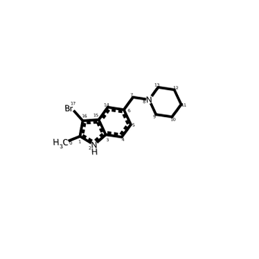 Cc1[nH]c2ccc(CN3CCCCC3)cc2c1Br